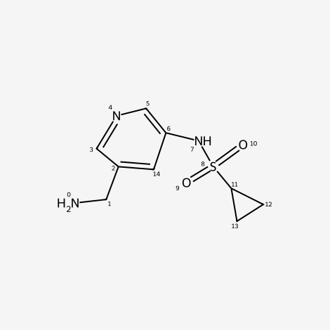 NCc1cncc(NS(=O)(=O)C2CC2)c1